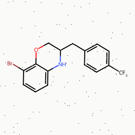 FC(F)(F)c1ccc(CC2COc3c(Br)cccc3N2)cc1